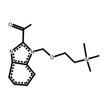 CC(=O)c1nc2ccccc2n1COCC[Si](C)(C)C